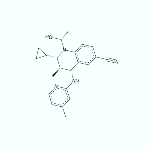 Cc1ccnc(N[C@H]2c3cc(C#N)ccc3N(C(C)O)[C@@H](C3CC3)[C@@H]2C)c1